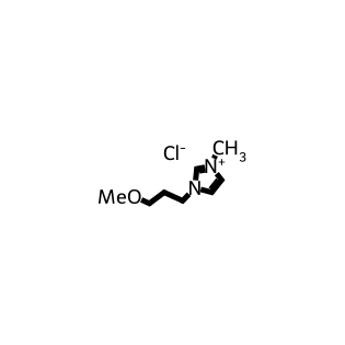 COCCCn1cc[n+](C)c1.[Cl-]